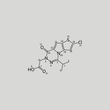 CC(C)c1nn(CC(=O)O)c(=O)c2cc3sc(Cl)cc3n12